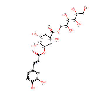 O=C(/C=C/c1ccc(O)c(O)c1)O[C@@H]1C[C@](O)(C(=O)OCC(O)C(O)C(O)C(O)CO)C[C@@H](O)[C@H]1O